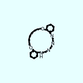 c1cccoc2ccccc2[nH]cncncnc2ccccc2occ1